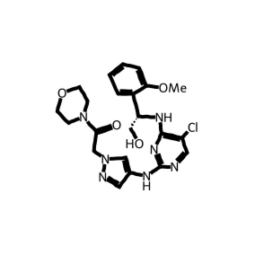 COc1ccccc1[C@@H](CO)Nc1nc(Nc2cnn(CC(=O)N3CCOCC3)c2)ncc1Cl